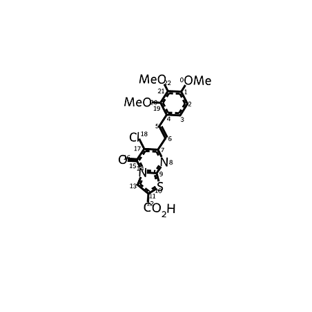 COc1ccc(/C=C/c2nc3sc(C(=O)O)cn3c(=O)c2Cl)c(OC)c1OC